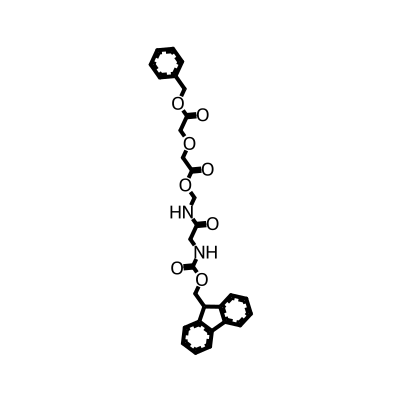 O=C(CNC(=O)OCC1c2ccccc2-c2ccccc21)NCOC(=O)COCC(=O)OCc1ccccc1